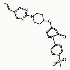 CC=Cc1cnc(N2CCC(Oc3ccn(-c4ccc(S(C)(=O)=O)cc4)c(=O)c3)CC2)nc1